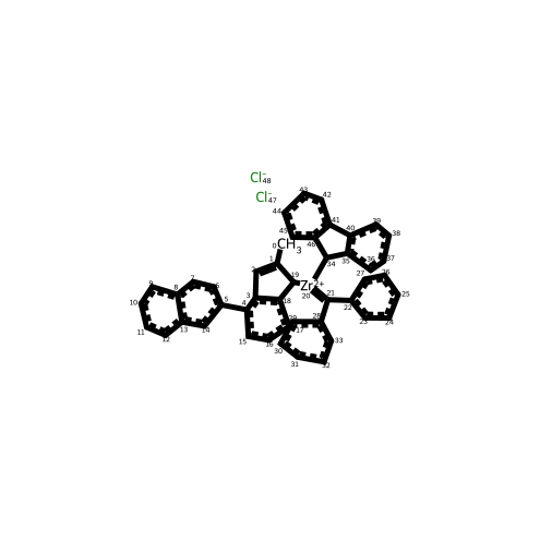 CC1=Cc2c(-c3ccc4ccccc4c3)cccc2[CH]1[Zr+2](=[C](c1ccccc1)c1ccccc1)[CH]1c2ccccc2-c2ccccc21.[Cl-].[Cl-]